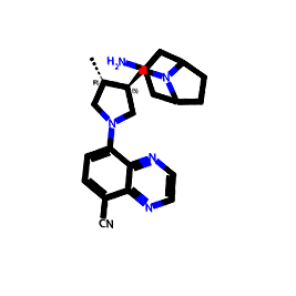 C[C@H]1CN(c2ccc(C#N)c3nccnc23)C[C@@H]1CN1C2CCC1CC(N)C2